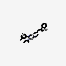 C=C/C(C)=N\C(=C/N(CCCC1=CNC2C=CC=CC12)/C(=C\C)C(C)CC)c1cncc(C)c1